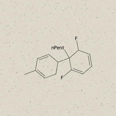 CCCCCC1(C2C=CC(C)=CC2)C(F)=CC=CC1F